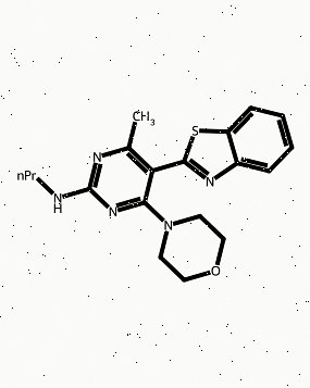 CCCNc1nc(C)c(-c2nc3ccccc3s2)c(N2CCOCC2)n1